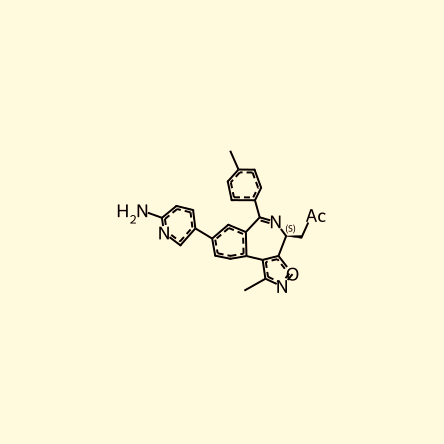 CC(=O)C[C@@H]1N=C(c2ccc(C)cc2)c2cc(-c3ccc(N)nc3)ccc2-c2c(C)noc21